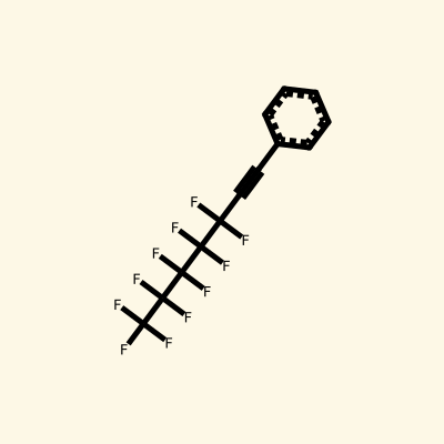 FC(F)(F)C(F)(F)C(F)(F)C(F)(F)C(F)(F)C#Cc1ccccc1